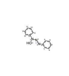 ON(/N=N/c1ccccc1)c1ccccc1